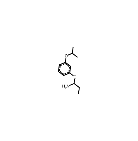 CCC(N)Oc1cccc(OC(C)C)c1